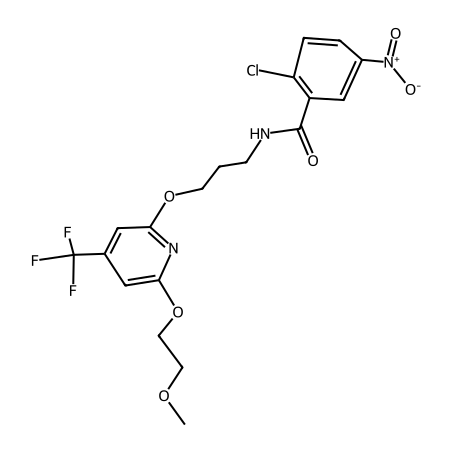 COCCOc1cc(C(F)(F)F)cc(OCCCNC(=O)c2cc([N+](=O)[O-])ccc2Cl)n1